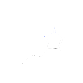 CCCc1ccn(C)n1